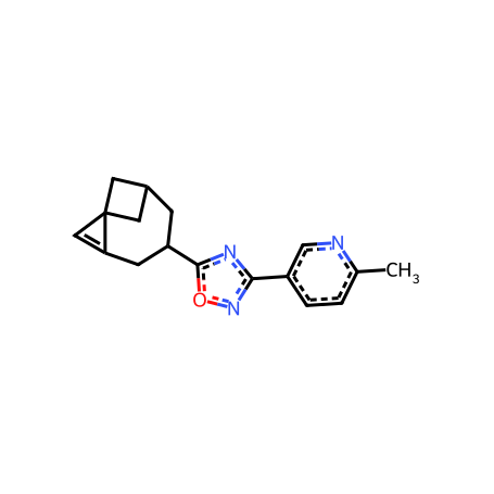 Cc1ccc(-c2noc(C3CC4=CC45CC(C3)C5)n2)cn1